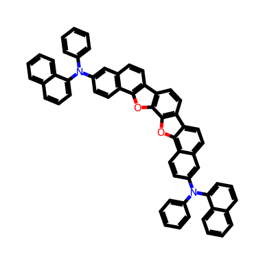 c1ccc(N(c2ccc3c(ccc4c5ccc6c7ccc8cc(N(c9ccccc9)c9cccc%10ccccc9%10)ccc8c7oc6c5oc34)c2)c2cccc3ccccc23)cc1